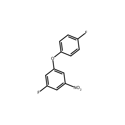 O=[N+]([O-])c1cc(F)cc(Oc2ccc(F)cc2)c1